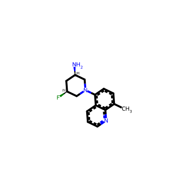 Cc1ccc(N2C[C@H](N)C[C@H](F)C2)c2cccnc12